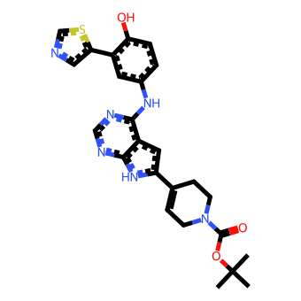 CC(C)(C)OC(=O)N1CC=C(c2cc3c(Nc4ccc(O)c(-c5cncs5)c4)ncnc3[nH]2)CC1